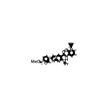 COC[C@@]12CC[C@@](c3cn4cc(C(=O)Nc5cccn(C6CC6)c5=O)c(OC(C)C)nc4n3)(CO1)C2